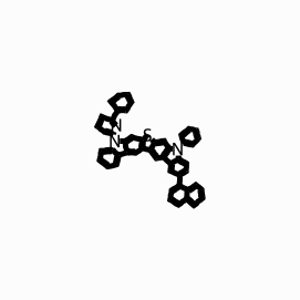 c1ccc(-c2cccc(-n3c4ccccc4c4cc5c(cc43)sc3cc4c(cc35)c3cc(-c5cccc6ccccc56)ccc3n4-c3ccccc3)n2)cc1